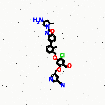 Cc1c(COc2cc(OCc3cncc(C#N)c3)c(C=O)cc2Cl)cccc1-c1ccc2oc(N3C[C@@H](N)C[C@H]3C)nc2c1